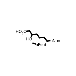 CCCCCC.CCCCCCCCCCCCCC(O)CC(=O)O